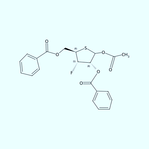 CC(=O)OC1S[C@H](COC(=O)c2ccccc2)[C@@H](F)[C@H]1OC(=O)c1ccccc1